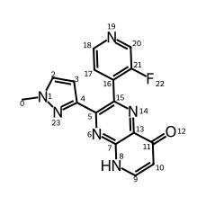 Cn1ccc(-c2nc3[nH]ccc(=O)c3nc2-c2ccncc2F)n1